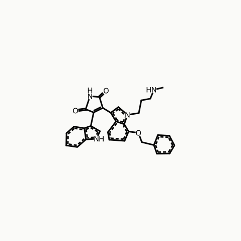 CNCCCn1cc(C2=C(c3c[nH]c4ccccc34)C(=O)NC2=O)c2cccc(OCc3ccccc3)c21